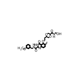 COc1cccc(CNC(=O)c2nc3ccc(F)c(OCCC4COC(C(=O)NCO)CO4)c3c(=O)[nH]2)c1